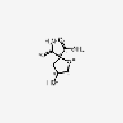 NC(=O)C1(C(N)=O)CC(O)CO1